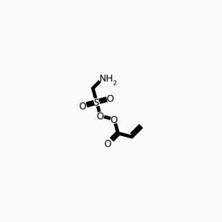 C=CC(=O)OOS(=O)(=O)CN